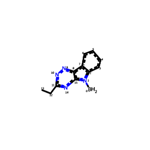 Bn1c2ccccc2c2nnc(CC)nc21